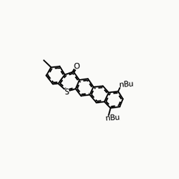 CCCCc1ccc(CCCC)c2cc3cc4c(=O)c5cc(C)ccc5sc4cc3cc12